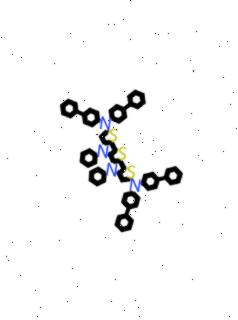 c1ccc(-c2ccc(N(c3ccc(-c4ccccc4)cc3)c3cc4c(s3)c3sc5c6sc(N(c7ccc(-c8ccccc8)cc7)c7ccc(-c8ccccc8)cc7)cc6n(-c6ccccc6)c5c3n4-c3ccccc3)cc2)cc1